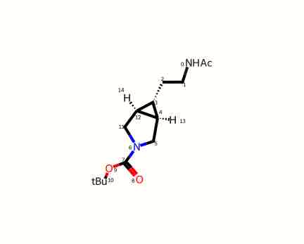 CC(=O)NCC[C@@H]1[C@H]2CN(C(=O)OC(C)(C)C)C[C@@H]12